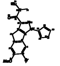 COc1cc2c(cc1Br)-c1c(c(C(=O)N(C)C(C)(C)C)nn1-c1ccsc1)C2